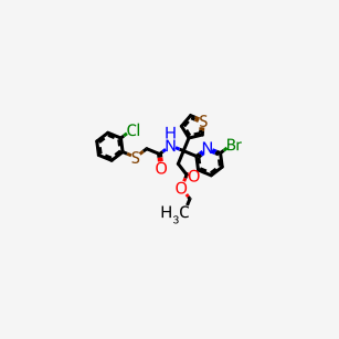 CCOC(=O)CC(NC(=O)CSc1ccccc1Cl)(c1ccsc1)c1cccc(Br)n1